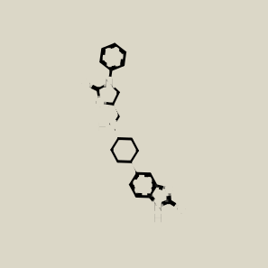 O=C1O[C@H](CN[C@H]2CC[C@H](c3ccc4[nH]c(=O)oc4c3)CC2)CN1c1ccccc1